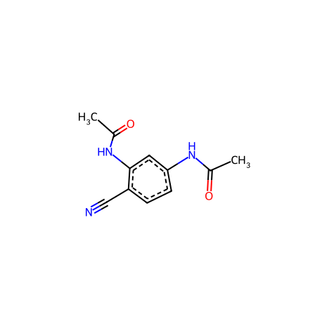 CC(=O)Nc1ccc(C#N)c(NC(C)=O)c1